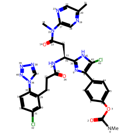 CNC(=O)Oc1ccc(-c2nc([C@H](CC(=O)N(C)c3cnc(C)cn3)NC(=O)CCc3cc(Cl)ccc3-n3cnnn3)[nH]c2Cl)cc1